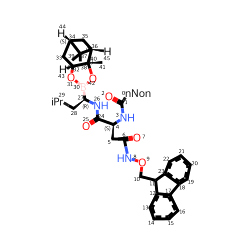 CCCCCCCCCC(=O)N[C@@H](CC(=O)NOCC1c2ccccc2-c2ccccc21)C(=O)N[C@@H](CC(C)C)B1O[C@@H]2C[C@@H]3C[C@@H](C3(C)C)[C@]2(C)O1